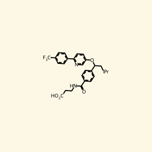 CC(C)CC(Oc1ccc(-c2ccc(C(F)(F)F)cc2)nc1)c1ccc(C(=O)NCCC(=O)O)cc1